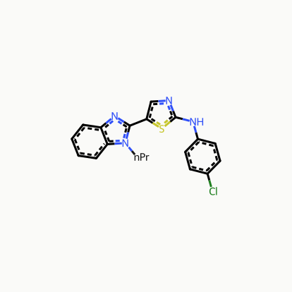 CCCn1c(-c2cnc(Nc3ccc(Cl)cc3)s2)nc2ccccc21